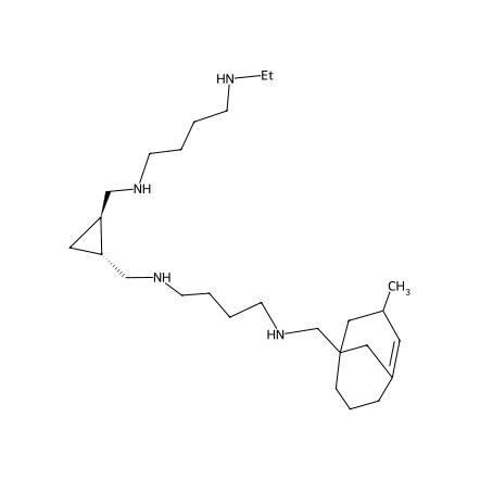 CCNCCCCNC[C@@H]1C[C@H]1CNCCCCNCC12CCCC(=CC(C)C1)C2